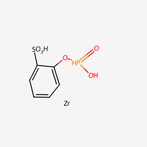 O=[PH](O)Oc1ccccc1S(=O)(=O)O.[Zr]